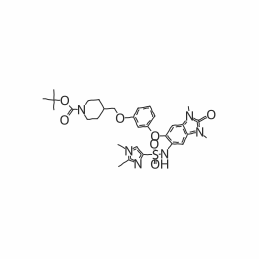 Cc1nc(S(=O)(=O)Nc2cc3c(cc2Oc2cccc(OCC4CCN(C(=O)OC(C)(C)C)CC4)c2)n(C)c(=O)n3C)cn1C